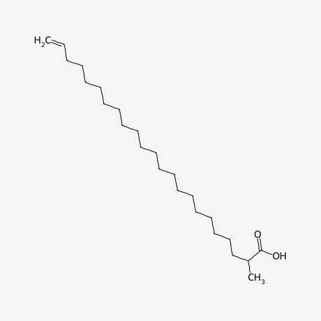 C=CCCCCCCCCCCCCCCCCCCCC(C)C(=O)O